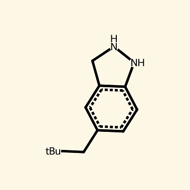 CC(C)(C)Cc1ccc2c(c1)CNN2